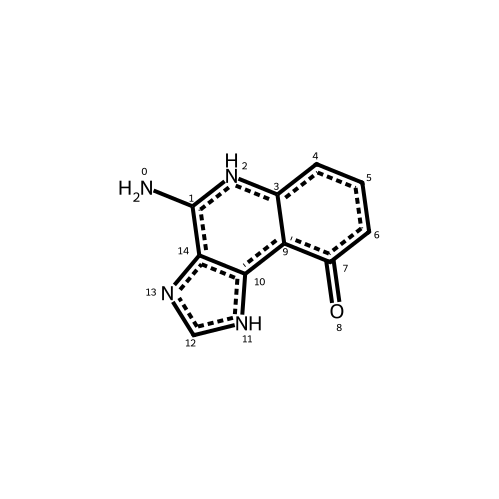 Nc1[nH]c2cccc(=O)c-2c2[nH]cnc12